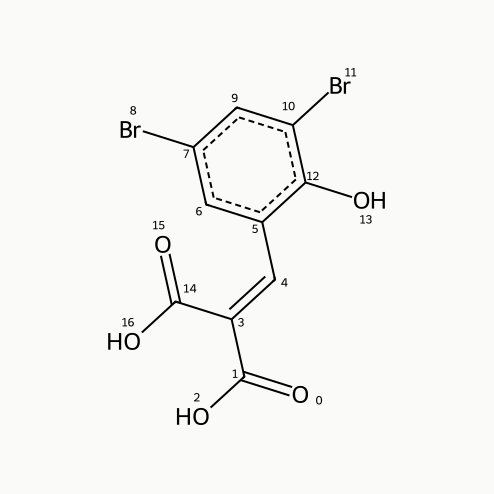 O=C(O)C(=Cc1cc(Br)cc(Br)c1O)C(=O)O